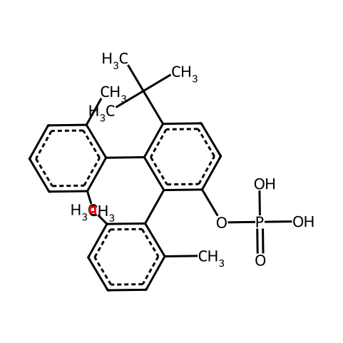 Cc1cccc(C)c1-c1c(OP(=O)(O)O)ccc(C(C)(C)C)c1-c1c(C)cccc1C